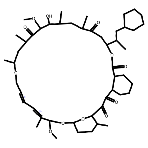 COC1CC2CCC(C)C(O2)C(=O)C(=O)C2CCCCC2C(=O)OC(C(C)CC2CCCCC2)CC(=O)C(C)CC(C)C(O)C(OC)C(=O)C(C)CC(C)CC/C=C/C=C/1C